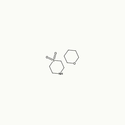 C1CCOCC1.O=S1(=O)CCNCC1